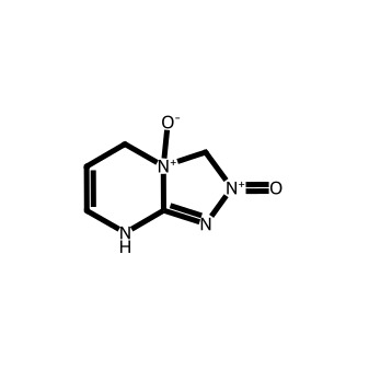 O=[N+]1C[N+]2([O-])CC=CNC2=N1